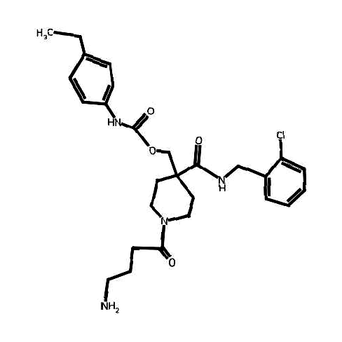 CCc1ccc(NC(=O)OCC2(C(=O)NCc3ccccc3Cl)CCN(C(=O)CCCN)CC2)cc1